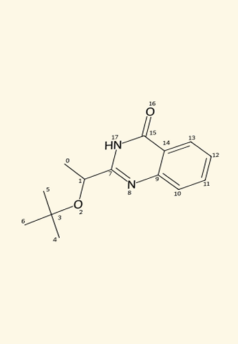 CC(OC(C)(C)C)c1nc2ccccc2c(=O)[nH]1